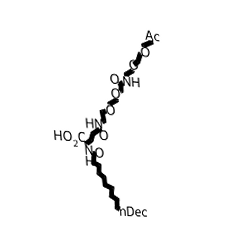 CCCCCCCCCCCCCCCCCCCC(=O)N[C@@H](CCC(=O)NCCOCCOCC(=O)NCCOCCOCCC(C)=O)C(=O)O